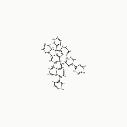 c1ccc(C2(c3ccccc3)c3ccccc3-c3cc4c(cc32)N(c2cc(-c3cccnc3)ccn2)c2ccc(-c3ccccn3)c3cccc-4c23)cc1